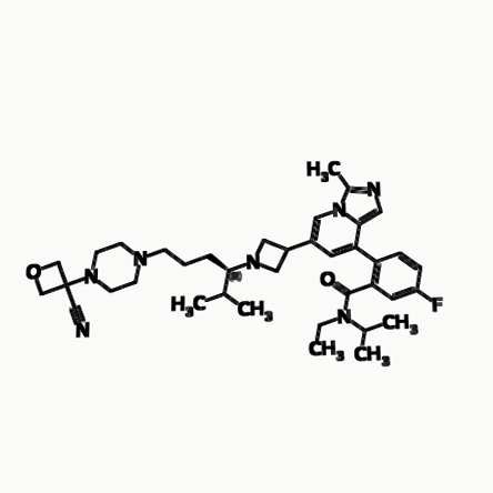 CCN(C(=O)c1cc(F)ccc1-c1cc(C2CN([C@H](CCCN3CCN(C4(C#N)COC4)CC3)C(C)C)C2)cn2c(C)ncc12)C(C)C